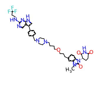 Cn1c(=O)n([C@H]2CCC(=O)NC2=O)c2ccc(CCCOCCCCN3CCN(Cc4ccc(-c5c[nH]c6nc(NCCC(F)(F)F)ncc56)cc4)CC3)cc21